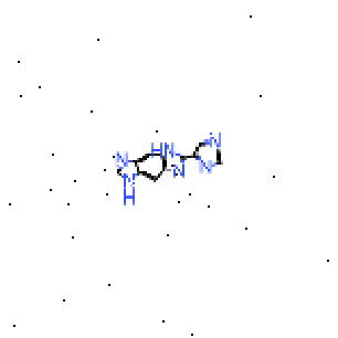 c1cnc(-c2nc3cc4[nH]cnc4cc3[nH]2)cn1